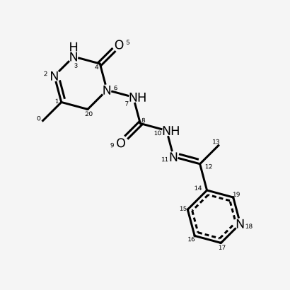 CC1=NNC(=O)N(NC(=O)N/N=C(\C)c2cccnc2)C1